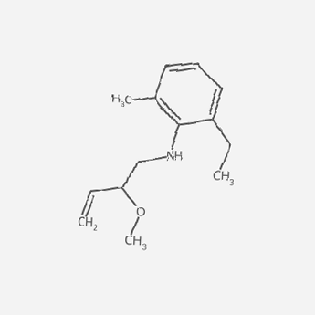 C=CC(CNc1c(C)cccc1CC)OC